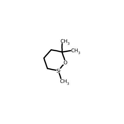 C[Si]1CCCC(C)(C)O1